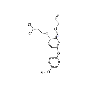 C=CCO/N=C1/C=C(Oc2ccc(OC(C)C)cc2)C=CC1OCC=C(Cl)Cl